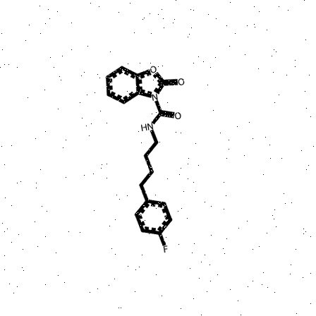 O=C(NCCCCc1ccc(F)cc1)n1c(=O)oc2ccccc21